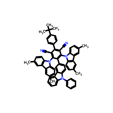 Cc1ccc2c(c1)c1cc(C)ccc1n2-c1c(C#N)c(-c2ccc(C(C)(C)C)cc2)c(C#N)c(-n2c3ccc(C)cc3c3cc(C)ccc32)c1-c1ccc2c(c1)c1ccccc1n2-c1ccccc1